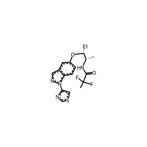 CC[C@@H](Oc1ccc2c(cnn2-c2cscn2)c1)[C@H](C)NC(=O)C(C)(F)F